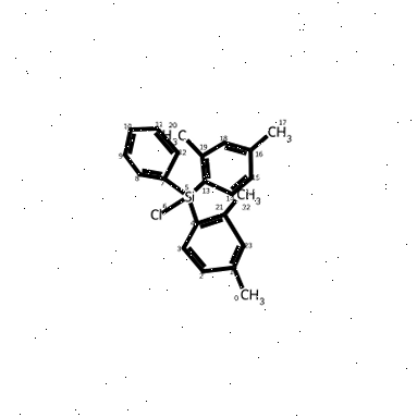 Cc1ccc([Si](Cl)(c2ccccc2)c2ccc(C)cc2C)c(C)c1